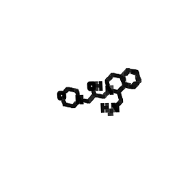 NCC1c2ccccc2CCN1CC(O)CN1CCOCC1